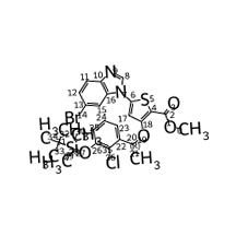 COC(=O)c1sc(-n2cnc3ccc(Br)cc32)cc1O[C@H](C)c1cccc(O[Si](C)(C)C(C)(C)C)c1Cl